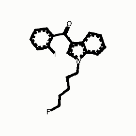 O=C(c1ccccc1I)c1cn(CCCCCF)c2ccccc12